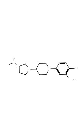 COc1cc(N2CCC(N3CC[C@@H](N(C)C)C3)CC2)ccc1N